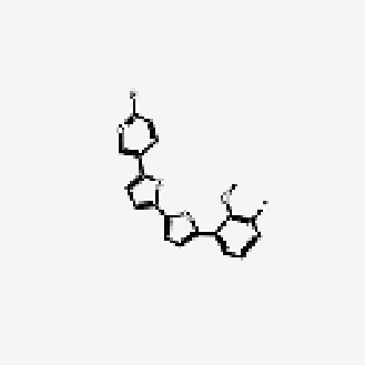 COc1c(F)cccc1-c1ccc(-c2ccc(-c3ccc(F)nc3)s2)s1